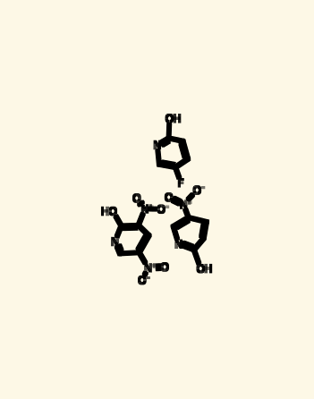 O=[N+]([O-])c1ccc(O)nc1.O=[N+]([O-])c1cnc(O)c([N+](=O)[O-])c1.Oc1ccc(F)cn1